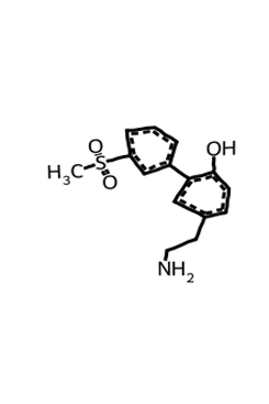 CS(=O)(=O)c1cccc(-c2cc(CCN)ccc2O)c1